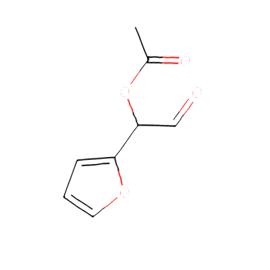 CC(=O)OC(C=O)c1ccco1